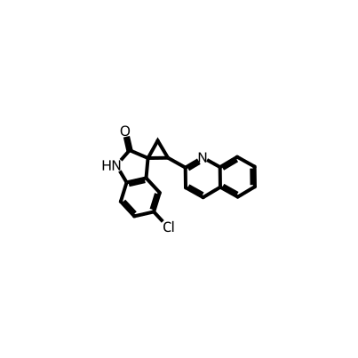 O=C1Nc2ccc(Cl)cc2C12CC2c1ccc2ccccc2n1